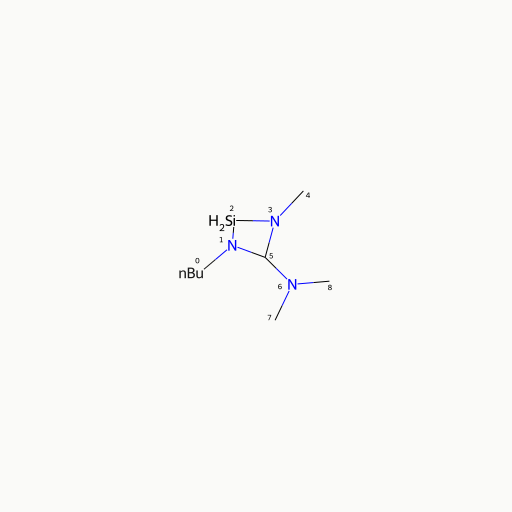 CCCCN1[SiH2]N(C)C1N(C)C